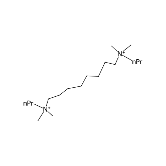 CCC[N+](C)(C)CCCCCCCC[N+](C)(C)CCC